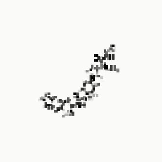 CCNC(=O)N(C)C1CCN(c2ccc(NC(=O)Nc3ccc(OC4CCCC4)cc3)cc2)C1